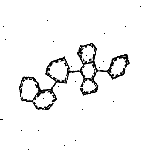 c1ccc(-c2c3ccccc3c(-c3cccc(-c4cccc5ccccc45)c3)c3ccccc23)cc1